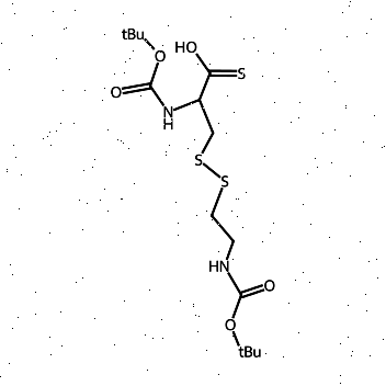 CC(C)(C)OC(=O)NCCSSCC(NC(=O)OC(C)(C)C)C(O)=S